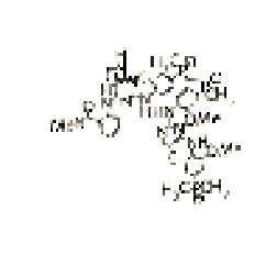 CNC(=O)c1ccccc1Nc1nc(Nc2ccc(P(C)(=O)CCP(C)(=O)c3ccc(Nc4ncc(Cl)c(Nc5ccc(P(C)(C)=O)cc5OC)n4)c(OC)c3)cc2OC)nc2[nH]ccc12